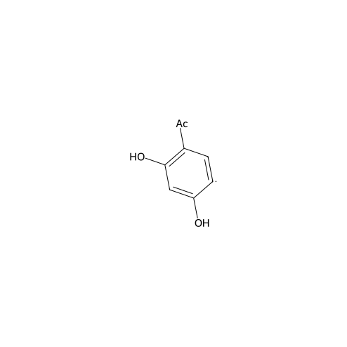 CC(=O)c1c[c]c(O)cc1O